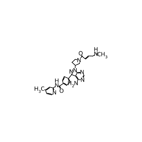 CNC/C=C/C(=O)N1CCC(n2nc(-c3ccc(C(=O)Nc4cc(C)ccn4)cc3)c3c(N)ncnc32)C1